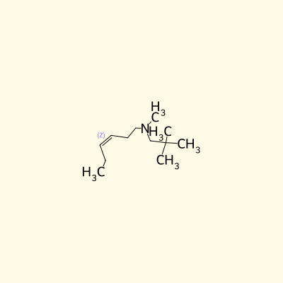 CC/C=C\CCN(C)CC(C)(C)C